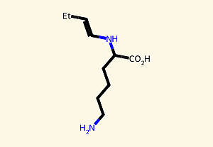 CCC=CNC(CCCCN)C(=O)O